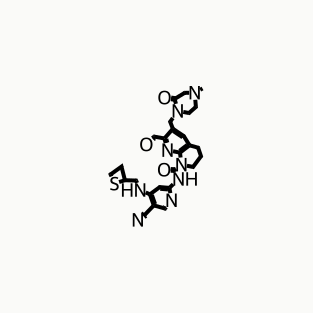 CN1CCN(Cc2cc3c(nc2C=O)N(C(=O)Nc2cc(NCC4CCS4)c(C#N)cn2)CCC3)C(=O)C1